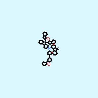 CC1(C)c2ccccc2-c2c(N(c3ccc(-c4ccc5oc6ccccc6c5c4)cc3)c3ccc4c(c3)C3(c5ccccc5-4)c4ccc5ccccc5c4Oc4c3ccc3ccccc43)cccc21